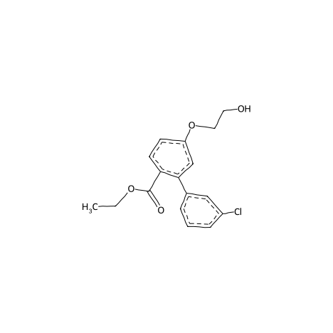 CCOC(=O)c1ccc(OCCO)cc1-c1cccc(Cl)c1